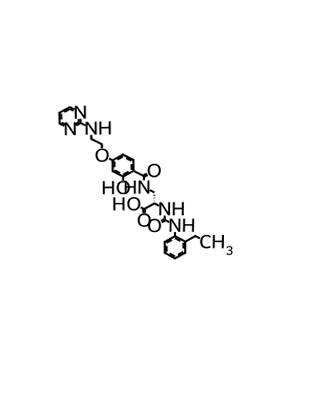 CCc1ccccc1NC(=O)N[C@@H](CNC(=O)c1ccc(OCCNc2ncccn2)cc1O)C(=O)O